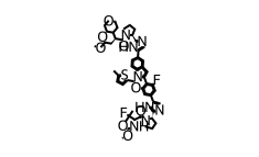 COC(=O)C[C@H](C(=O)N1CCC[C@H]1c1ncc(-c2ccc3c(c2)cc2n3C(c3ccc(C)s3)Oc3cc(-c4cnc([C@@H]5CCCN5C(=O)C(NC(=O)OC)C(C)(C)F)[nH]4)cc(F)c3-2)[nH]1)C1CCOCC1